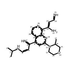 CC(C)N/C=C\C(=N)c1cc(N2CCOCC2C)nc2c(/C(N)=C/C=N)nccc12